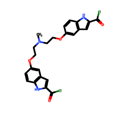 CN(CCOc1ccc2[nH]c(C(=O)Cl)cc2c1)CCOc1ccc2[nH]c(C(=O)Cl)cc2c1